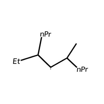 CCCC(C)[CH]C(CC)CCC